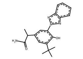 CC(C(N)=O)c1cc(-n2nc3ccccc3n2)c(O)c(C(C)(C)C)c1